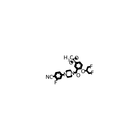 CS(=O)(=O)c1ccc(OC(CF)CF)c(C(=O)N2CCN(c3ccc(C#N)c(F)c3)CC2)c1